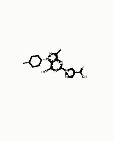 Cc1nn([C@H]2CC[C@H](C)CC2)c2c(O)nc(-n3cc(C(=O)O)cn3)nc12